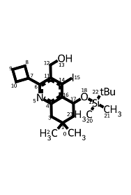 CC1(C)Cc2nc(C3CCC3)c(CO)c(I)c2C(O[Si](C)(C)C(C)(C)C)C1